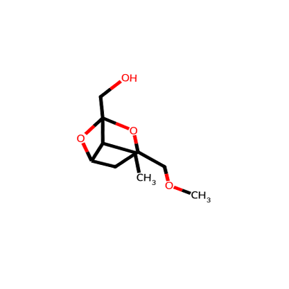 CCC1C2CC(COC)OC1(CO)O2